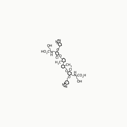 Cc1c(COc2cc(OCc3ccc4ncnn4c3)c(CNC(CCO)C(=O)O)cc2Cl)cccc1-c1cccc(COc2cc(OCc3ccc4ncnn4c3)c(CNC(CCO)C(=O)O)cc2Cl)c1C